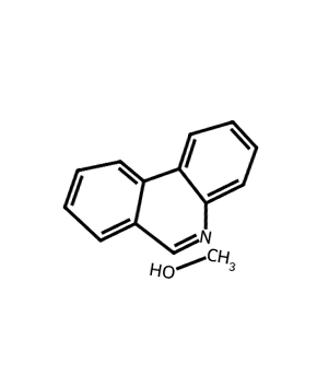 CO.c1ccc2c(c1)cnc1ccccc12